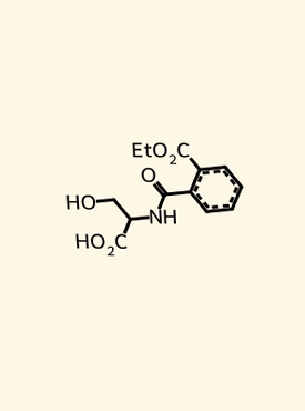 CCOC(=O)c1ccccc1C(=O)NC(CO)C(=O)O